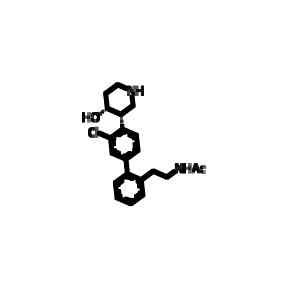 CC(=O)NCCc1ccccc1-c1ccc([C@H]2CNCC[C@H]2O)c(Cl)c1